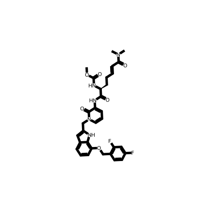 COC(=O)N[C@@H](CC/C=C/C(=O)N(C)C)C(=O)Nc1cccn(Cc2cc3cccc(OCc4ccc(F)cc4F)c3[nH]2)c1=O